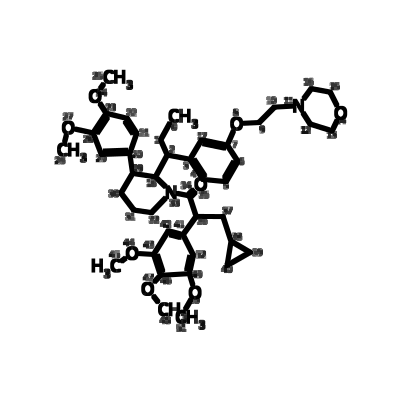 CCC(c1cccc(OCCN2CCOCC2)c1)C1C(c2ccc(OC)c(OC)c2)CCCN1C(=O)C(CC1CC1)c1cc(OC)c(OC)c(OC)c1